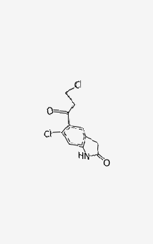 O=C1Cc2cc(C(=O)CCCl)c(Cl)cc2N1